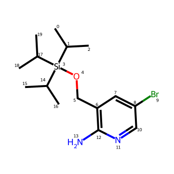 CC(C)[Si](OCc1cc(Br)cnc1N)(C(C)C)C(C)C